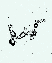 COc1ccc(-n2ccc3c(=O)n(CC4(O)CCN(C(=O)[C@@H]5CCN(Cc6nccs6)C[C@H]5c5ccccc5)CC4)cnc32)cc1